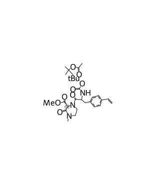 C=Cc1ccc(CC(NC(=O)OC(C)(C)C)C(=O)N2CCN(C)C(=O)[C@H]2C(=O)OC)cc1.CC(=O)OC(C)(C)C